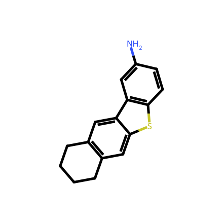 Nc1ccc2sc3cc4c(cc3c2c1)CCCC4